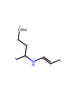 C/C=C/NC(C)CCOC